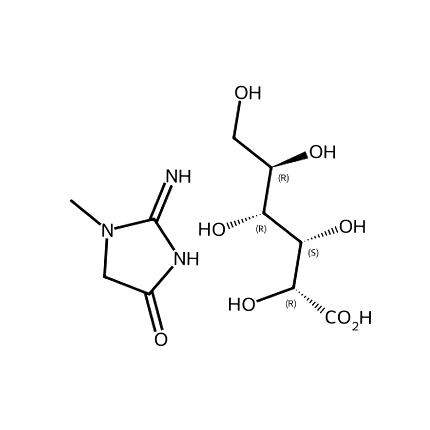 CN1CC(=O)NC1=N.O=C(O)[C@H](O)[C@@H](O)[C@H](O)[C@H](O)CO